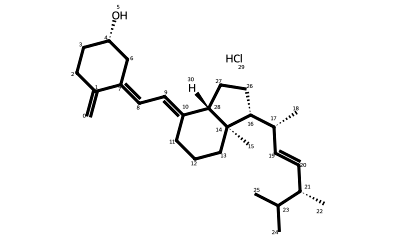 C=C1CC[C@H](O)CC1=CC=C1CCC[C@]2(C)[C@@H]([C@H](C)C=C[C@H](C)C(C)C)CC[C@@H]12.Cl